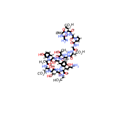 CC[C@H](C)[C@H](NC(=O)CN)C(=O)N[C@@H](CCC(=O)O)C(=O)NCC(=O)N1CCC[C@H]1C(=O)NCC(=O)N[C@@H](CC(=O)O)C(=O)N[C@H](C(=O)N[C@H](C(=O)N[C@@H](Cc1ccc(O)cc1)C(=O)N[C@@H](Cc1ccc(O)cc1)C(=O)N[C@@H](C)C(=O)N[C@@H](CC(=O)O)C(=O)N[C@@H](CO)C(=O)N[C@H](C(=O)N[C@@H](CCCCN)C(=O)NCC(=O)O)C(C)C)[C@@H](C)O)C(C)C